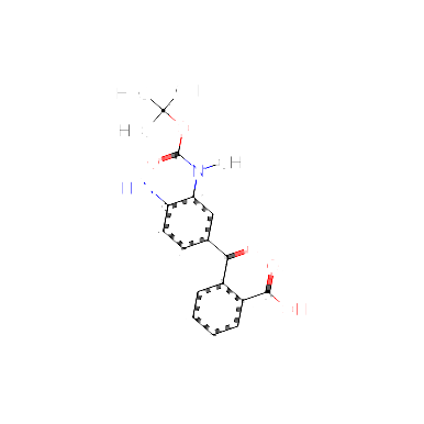 CN(C(=O)OC(C)(C)C)c1cc(C(=O)c2ccccc2C(=O)O)ccc1N